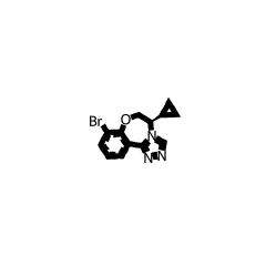 Brc1cccc2c1OC[C@@H](C1CC1)n1cnnc1-2